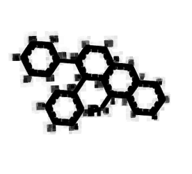 CC(C)c1c2ccccc2cc2ccc(-c3ccccc3)c(-c3ccccc3)c12